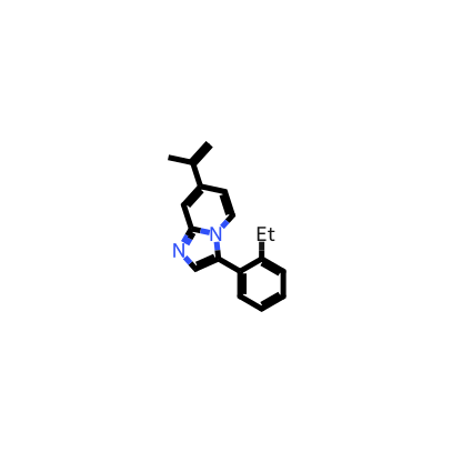 C=C(C)c1ccn2c(-c3ccccc3CC)cnc2c1